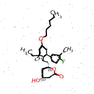 CCCCCCOC1CC(c2ccc(F)c(C)c2)=C(CC[C@H]2C[C@H](O)CC(=O)O2)C(C)(CC)C1